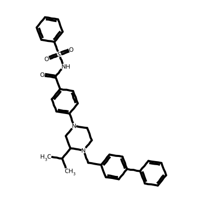 CC(C)C1CN(c2ccc(C(=O)NS(=O)(=O)c3ccccc3)cc2)CCN1Cc1ccc(-c2ccccc2)cc1